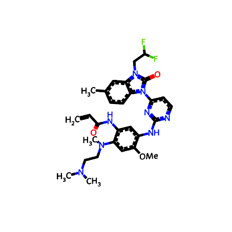 C=CC(=O)Nc1cc(Nc2nccc(-n3c(=O)n(CC(F)F)c4cc(C)ccc43)n2)c(OC)cc1N(C)CCN(C)C